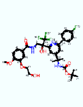 COc1ccc(C(=O)NCC(O)(c2cc(C(C)(C)NC(=O)OC(C)(C)C)cc(-c3ccc(F)cc3)n2)C(F)(F)F)cc1OCCO